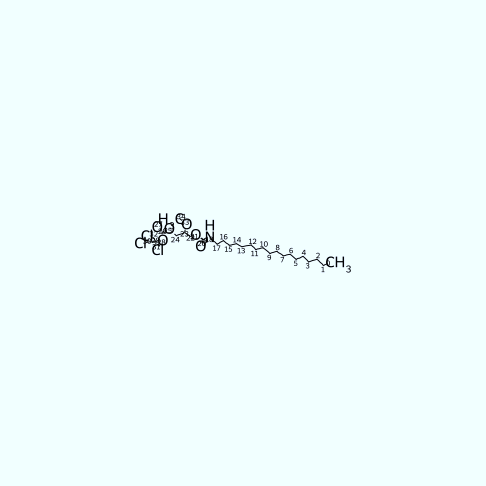 CCCCCCCCCCCCCCCCCCNC(=O)OCC(COC(=O)OC(Cl)(Cl)Cl)OC